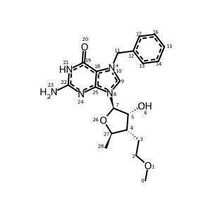 COCC[C@H]1[C@@H](O)[C@H](n2c[n+](Cc3ccccc3)c3c(=O)[nH]c(N)nc32)O[C@@H]1C